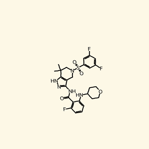 CC1(C)CN(S(=O)(=O)c2cc(F)cc(F)c2)Cc2c(NC(=O)c3c(F)cccc3NC3CCOCC3)n[nH]c21